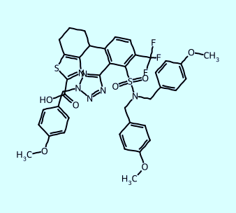 COc1ccc(CN(Cc2ccc(OC)cc2)S(=O)(=O)c2c(C(F)(F)F)ccc(C3CCCc4sc(C(=O)O)nc43)c2-c2nnn(Cc3ccc(OC)cc3)n2)cc1